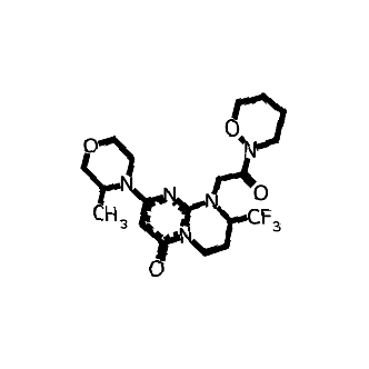 CC1COCCN1c1cc(=O)n2c(n1)N(CC(=O)N1CCCCO1)C(C(F)(F)F)CC2